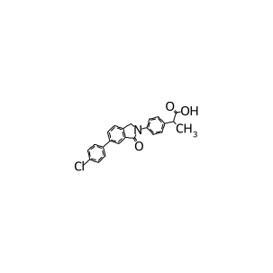 CC(C(=O)O)c1ccc(N2Cc3ccc(-c4ccc(Cl)cc4)cc3C2=O)cc1